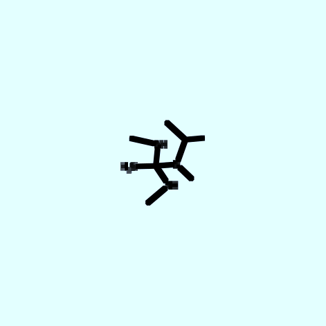 CNC([SiH3])(NC)N(C)C(C)C